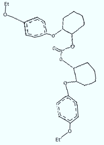 CCOc1ccc(OC2CCCCC2OS(=O)OC2CCCCC2Oc2ccc(OCC)cc2)cc1